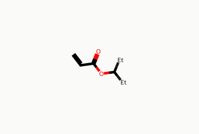 C=CC(=O)O[C](CC)CC